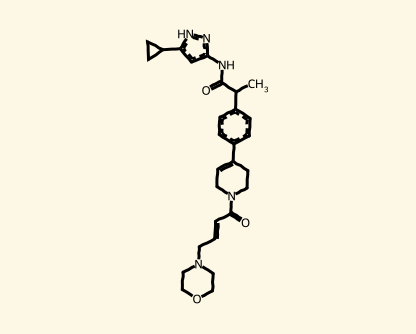 CC(C(=O)Nc1cc(C2CC2)[nH]n1)c1ccc(C2=CCN(C(=O)C=CCN3CCOCC3)CC2)cc1